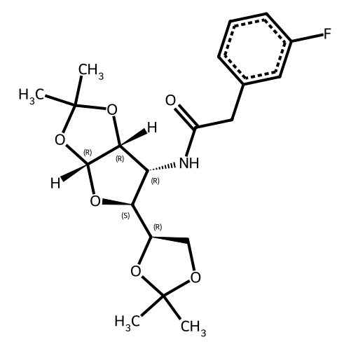 CC1(C)O[C@H]2O[C@H]([C@H]3COC(C)(C)O3)[C@@H](NC(=O)Cc3cccc(F)c3)[C@H]2O1